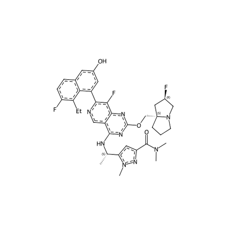 CCc1c(F)ccc2cc(O)cc(-c3ncc4c(N[C@@H](C)c5cc(C(=O)N(C)C)nn5C)nc(OC[C@@]56CCCN5C[C@H](F)C6)nc4c3F)c12